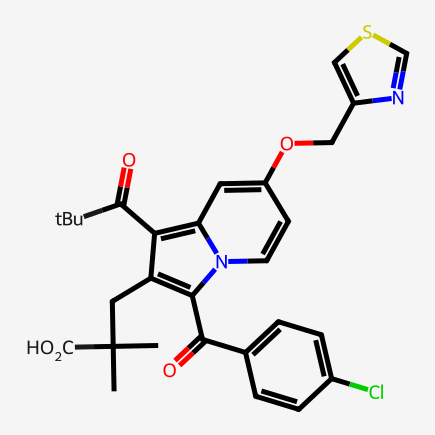 CC(C)(C)C(=O)c1c(CC(C)(C)C(=O)O)c(C(=O)c2ccc(Cl)cc2)n2ccc(OCc3cscn3)cc12